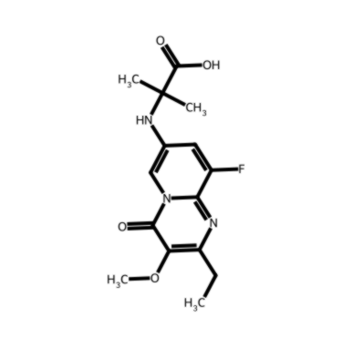 CCc1nc2c(F)cc(NC(C)(C)C(=O)O)cn2c(=O)c1OC